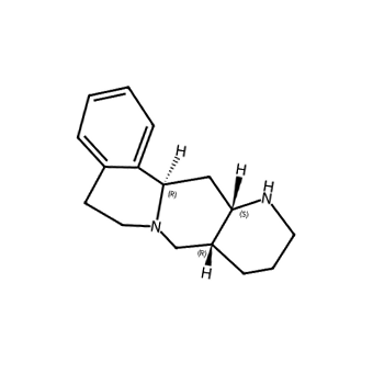 c1ccc2c(c1)CCN1C[C@H]3CCCN[C@H]3C[C@H]21